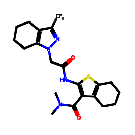 CN(C)C(=O)c1c(NC(=O)Cn2nc(C(F)(F)F)c3c2CCCC3)sc2c1CCCC2